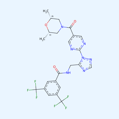 C[C@@H]1CN(C(=O)c2cnc(-n3ncnc3CNC(=O)c3cc(C(F)(F)F)cc(C(F)(F)F)c3)nc2)C[C@H](C)O1